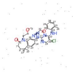 COCCN1C(=O)CCC(C)(C)c2ccc(Nc3ncc(Cl)c(Nc4c(C)cccc4OCC#N)n3)cc21